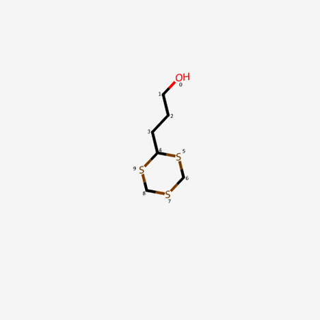 OCCCC1SCSCS1